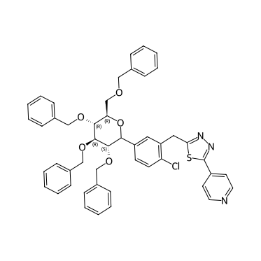 Clc1ccc(C2O[C@H](COCc3ccccc3)[C@@H](OCc3ccccc3)[C@H](OCc3ccccc3)[C@H]2OCc2ccccc2)cc1Cc1nnc(-c2ccncc2)s1